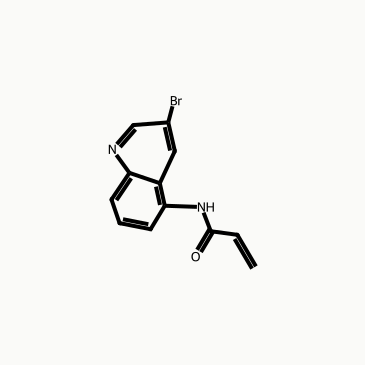 C=CC(=O)Nc1cccc2ncc(Br)cc12